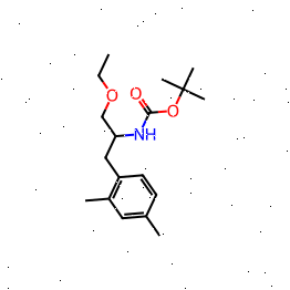 CCOCC(Cc1ccc(C)cc1C)NC(=O)OC(C)(C)C